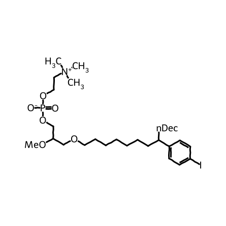 CCCCCCCCCCC(CCCCCCCOCC(COP(=O)([O-])OCC[N+](C)(C)C)OC)c1ccc(I)cc1